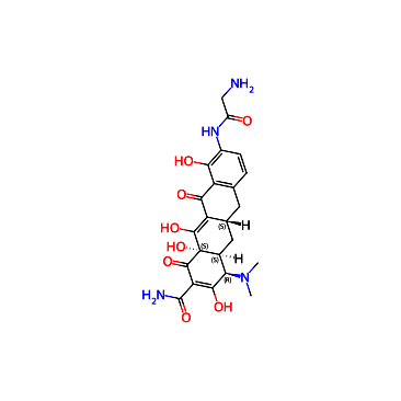 CN(C)[C@H]1C(O)=C(C(N)=O)C(=O)[C@@]2(O)C(O)=C3C(=O)c4c(ccc(NC(=O)CN)c4O)C[C@@H]3C[C@@H]12